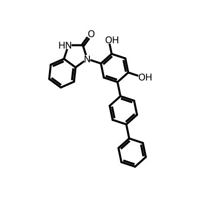 O=c1[nH]c2ccccc2n1-c1cc(-c2ccc(-c3ccccc3)cc2)c(O)cc1O